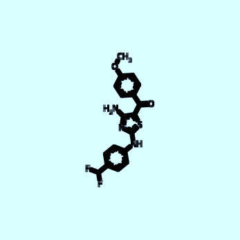 COc1ccc(C(=O)c2sc(Nc3ccc(C(F)F)cc3)nc2N)cc1